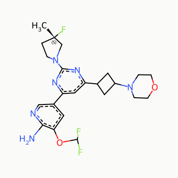 C[C@]1(F)CCN(c2nc(-c3cnc(N)c(OC(F)F)c3)cc(C3CC(N4CCOCC4)C3)n2)C1